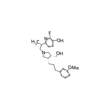 COc1cccc(CCC[C@@H]2CN(CC(C)c3ccc(O)c(F)n3)C[C@@H]2CO)c1